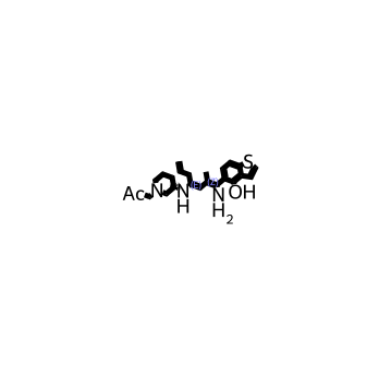 C=CC/C(=C\C(C)=C(/N)c1ccc2sccc2c1O)N[C@@H]1CCCN(CC(C)=O)C1